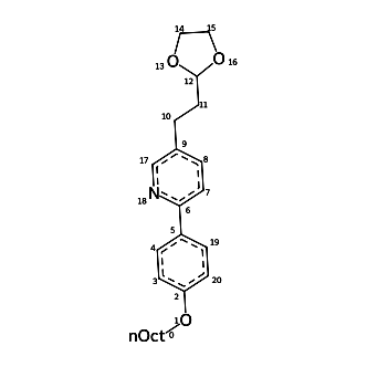 CCCCCCCCOc1ccc(-c2ccc(CCC3OCCO3)cn2)cc1